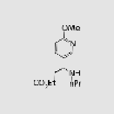 CCCN[C@@H](CC(=O)OCC)c1ccc(OC)nc1